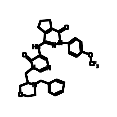 O=c1c(Nc2nn(-c3ccc(OC(F)(F)F)cc3)c(=O)c3c2CCC3)cncn1CC1COCCN1Cc1ccccc1